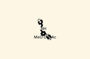 COc1cc(CNCCC2CCOCC2)ccc1Oc1cnc(C(C)=O)cn1